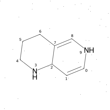 C1=CC2NCCCC2=CN1